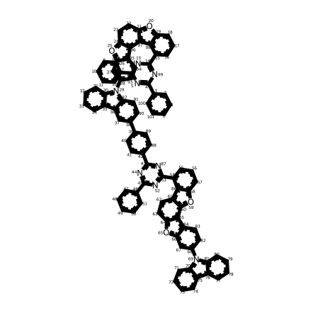 c1ccc(C2=NC(c3ccccc3)NC(c3cccc4oc5ccc6oc7cc(-n8c9ccccc9c9cc(-c%10ccc(-c%11nc(-c%12ccccc%12)nc(-c%12cccc%13oc%14c(ccc%15oc%16cc(-n%17c%18ccccc%18c%18ccccc%18%17)ccc%16c%15%14)c%12%13)n%11)cc%10)ccc98)ccc7c6c5c34)=N2)cc1